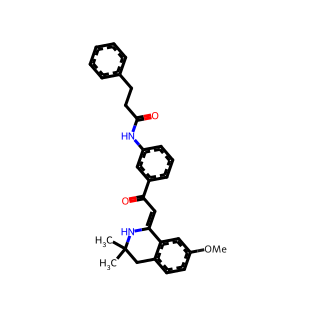 COc1ccc2c(c1)C(=CC(=O)c1cccc(NC(=O)CCc3ccccc3)c1)NC(C)(C)C2